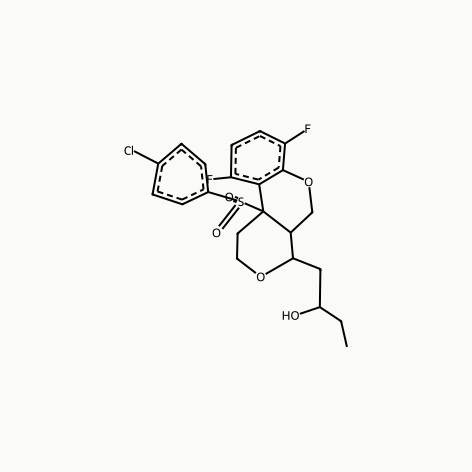 CCC(O)CC1OCCC2(S(=O)(=O)c3ccc(Cl)cc3)c3c(F)ccc(F)c3OCC12